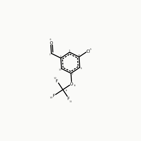 O=Cc1cc(Cl)cc(OC(F)(F)F)c1